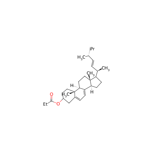 CCC(=O)OC1CC[C@@]2(C)C(=CC=C3[C@@H]2CC[C@]2(C)C([C@H](C)/C=C/[C@H](C)C(C)C)CC[C@@H]32)C1